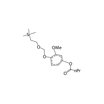 CCCC(=O)Oc1ccc(OCOCC[Si](C)(C)C)c(OC)c1